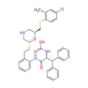 Cc1cc(Cl)ccc1SC[C@@H]1CNC[C@@H](CCc2ccccc2NC(=O)[C@@H](NC(=O)O)C(c2ccccc2)c2ccccc2)O1